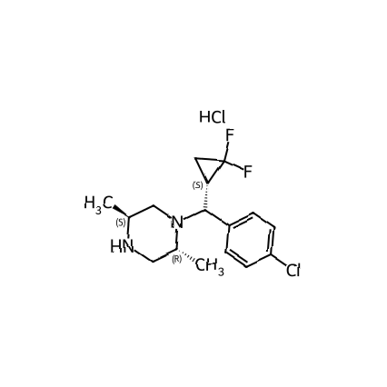 C[C@@H]1CN[C@@H](C)CN1C(c1ccc(Cl)cc1)[C@@H]1CC1(F)F.Cl